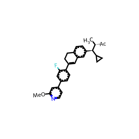 COc1cc(-c2ccc(C3=Cc4cc([C@H](C5CC5)[C@H](C)C(C)=O)ccc4CC3)c(F)c2)ccn1